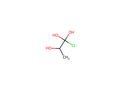 CC(O)C(O)(O)Cl